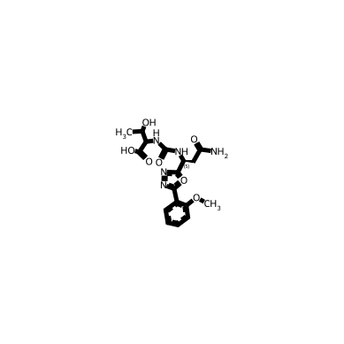 COc1ccccc1-c1nnc([C@H](CC(N)=O)NC(=O)NC(C(=O)O)C(C)O)o1